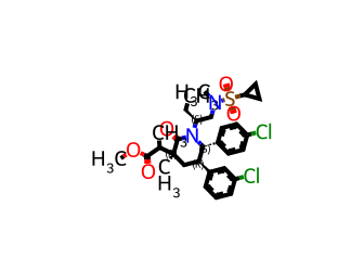 CC[C@@H](CN(C)S(=O)(=O)C1CC1)N1C(=O)[C@@](C)(C(C)C(=O)OC)C[C@H](c2cccc(Cl)c2)[C@H]1c1ccc(Cl)cc1